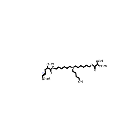 CCCCC/C=C/CC(CCCCCC)C(=O)OCCCCCCN(CCCCO)CCCCCCOC(=O)C(CCCCCC)CCCCCCCC